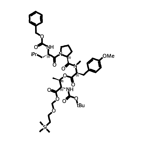 COc1ccc(C[C@@H](C(=O)O[C@H](C)[C@H](NC(=O)OC(C)(C)C)C(=O)OCOCC[Si](C)(C)C)N(C)C(=O)[C@@H]2CCCN2C(=O)[C@H](CC(C)C)NC(=O)OCc2ccccc2)cc1